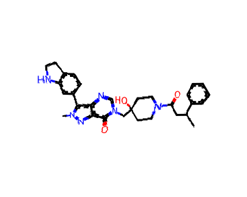 CC(CC(=O)N1CCC(O)(Cn2cnc3c(-c4ccc5c(c4)NCC5)n(C)nc3c2=O)CC1)c1ccccc1